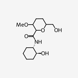 COC1CCC(CO)OC1C(=O)N[C@H]1CCCC[C@@H]1O